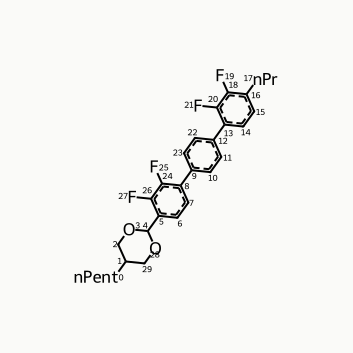 CCCCCC1COC(c2ccc(-c3ccc(-c4ccc(CCC)c(F)c4F)cc3)c(F)c2F)OC1